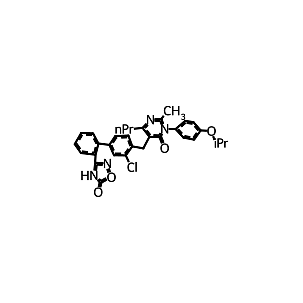 CCCc1nc(C)n(-c2ccc(OC(C)C)cc2)c(=O)c1Cc1ccc(-c2ccccc2-c2noc(=O)[nH]2)cc1Cl